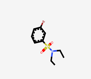 CCN(CC)S(=O)(=O)c1cccc(Br)c1